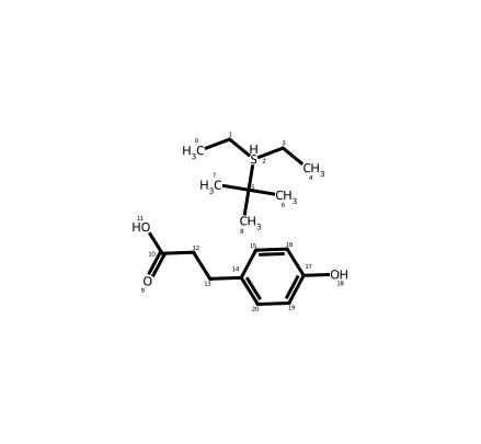 CC[SH](CC)C(C)(C)C.O=C(O)CCc1ccc(O)cc1